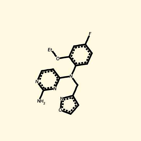 CCOc1cc(F)ccc1N(Cc1ccon1)c1ccnc(N)n1